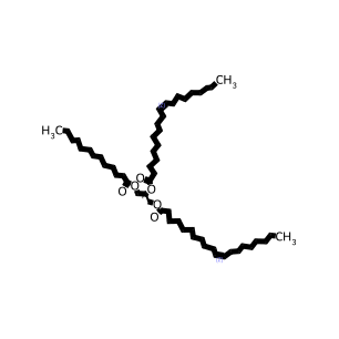 CCCCCCCC/C=C\CCCCCCCCCC(=O)OC[C@@H](COC(=O)CCCCCCCCCCCC)OC(=O)CCCCCCCCC/C=C\CCCCCCCC